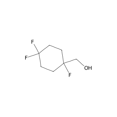 OCC1(F)CCC(F)(F)CC1